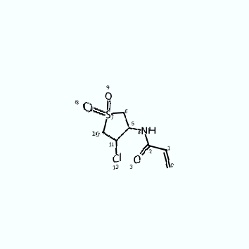 C=CC(=O)NC1CS(=O)(=O)CC1Cl